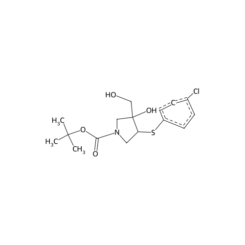 CC(C)(C)OC(=O)N1CC(Sc2ccc(Cl)cc2)C(O)(CO)C1